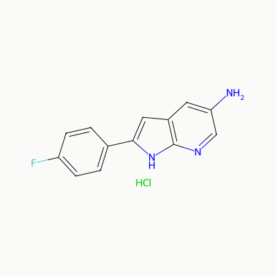 Cl.Nc1cnc2[nH]c(-c3ccc(F)cc3)cc2c1